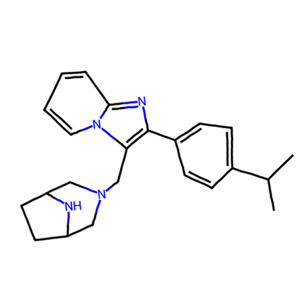 CC(C)c1ccc(-c2nc3ccccn3c2CN2CC3CCC(C2)N3)cc1